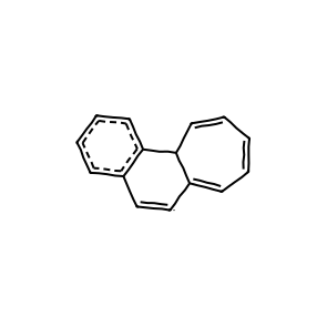 [C]1=Cc2ccccc2C2C=CC=CC=C12